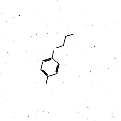 NCCSc1ccc(C(F)(F)F)cc1